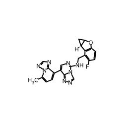 Cc1ccc(-c2cnc(NCc3c(F)ccc4c3[C@H]3CC3O4)n3cnnc23)c2ncnn12